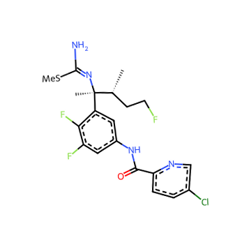 CS/C(N)=N\[C@](C)(c1cc(NC(=O)c2ccc(Cl)cn2)cc(F)c1F)[C@H](C)CCF